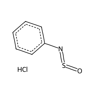 Cl.O=S=Nc1ccccc1